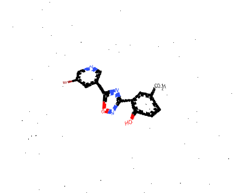 O=C(O)c1ccc(O)c(-c2noc(-c3cncc(Br)c3)n2)c1